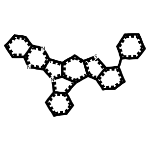 c1ccc(-c2cccc3c2sc2cc4c5nc6ccccc6nc5n5c6ccccc6c(c23)c45)cc1